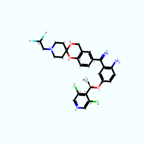 C[C@@H](Oc1ccc(N)c(C(=N)c2ccc3c(c2)COC2(CCN(CC(F)F)CC2)O3)c1)c1c(Cl)cncc1Cl